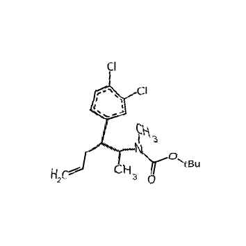 C=CCC(c1ccc(Cl)c(Cl)c1)C(C)N(C)C(=O)OC(C)(C)C